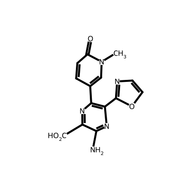 Cn1cc(-c2nc(C(=O)O)c(N)nc2-c2ncco2)ccc1=O